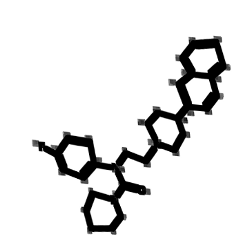 O=C(N1CCCCC1)N(CCN1CCC(c2ccc3ccccc3c2)CC1)c1ccc(F)cc1